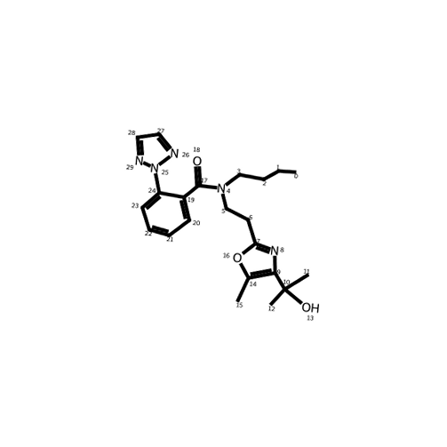 CCCCN(CCc1nc(C(C)(C)O)c(C)o1)C(=O)c1ccccc1-n1nccn1